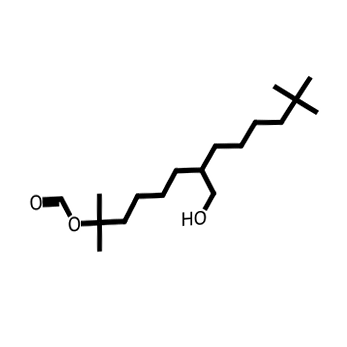 CC(C)(C)CCCCC(CO)CCCCC(C)(C)OC=O